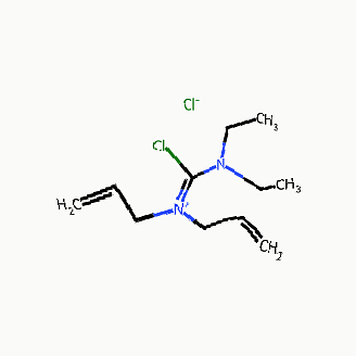 C=CC[N+](CC=C)=C(Cl)N(CC)CC.[Cl-]